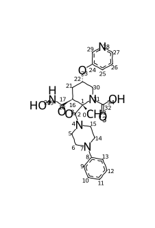 C[C@@]1(C(=O)N2CCN(c3ccccc3)CC2)[C@@H](C(=O)NO)C[C@H](Oc2cccnc2)CN1C(=O)O